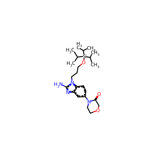 CC(C)[Si](OCCCn1c(N)nc2cc(N3CCOCC3=O)ccc21)(C(C)C)C(C)C